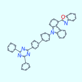 c1ccc(-c2nc(-c3ccccc3)nc(-c3ccc(-c4ccc(-n5c6ccccc6c6c(-c7nc8ccccc8o7)cccc65)cc4)cc3)n2)cc1